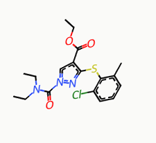 CCOC(=O)c1cn(C(=O)N(CC)CC)nc1Sc1c(C)cccc1Cl